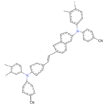 Cc1ccc(N(c2ccc(C#N)cc2)c2ccc(/C=C/c3ccc4cc(N(c5ccc(C#N)cc5)c5ccc(C)c(C)c5)ccc4c3)cc2)cc1C